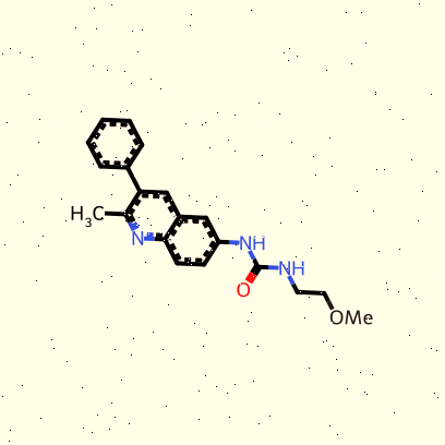 COCCNC(=O)Nc1ccc2nc(C)c(-c3ccccc3)cc2c1